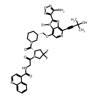 CCn1c(-c2nonc2N)nc2c(C#CC(C)(C)O)ncc(OC[C@H]3CCCN(C(=O)[C@@H]4CC(F)(F)CN4C(=O)CNC(=O)c4ccnc5ccccc45)C3)c21